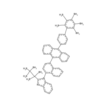 Bc1c(B)c(B)c(-c2ccc(-c3c4ccccc4c(-c4ccc(-n5c(C(B)(B)C(B)(B)B)nc6ccccc65)c5ccccc45)c4ccccc34)cc2)c(B)c1B